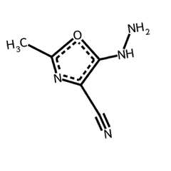 Cc1nc(C#N)c(NN)o1